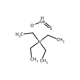 CC[N+](CC)(CC)CC.[O-][GeH]=[S]